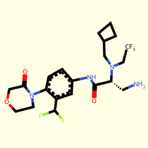 NC[C@H](C(=O)Nc1ccc(N2CCOCC2=O)c(C(F)F)c1)N(CC1CCC1)CC(F)(F)F